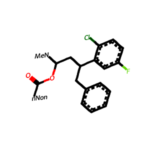 CCCCCCCCCC(=O)OC(CC(Cc1ccccc1)c1cc(F)ccc1Cl)NC